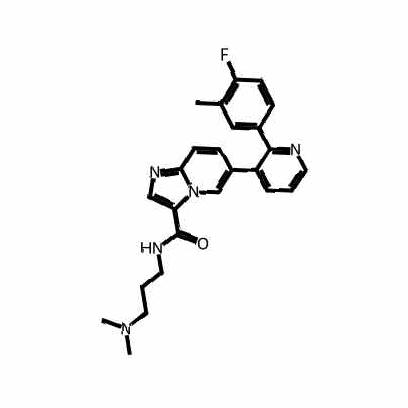 Cc1cc(-c2ncccc2-c2ccc3ncc(C(=O)NCCCN(C)C)n3c2)ccc1F